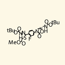 COC(=O)CSC(=NNC(=O)OC(C)(C)C)c1ccc(N2C[C@H](CNC(=O)OC(C)(C)C)OC2=O)cc1F